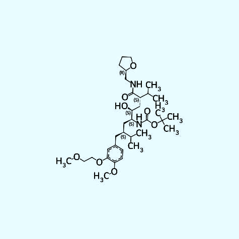 COCCOc1cc(C[C@@H](C[C@H](NC(=O)OC(C)(C)C)[C@@H](O)C[C@H](C(=O)NC[C@H]2CCCO2)C(C)C)C(C)C)ccc1OC